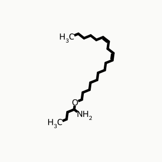 CCCCC/C=C\C/C=C\CCCCCCCCOC(N)CCC